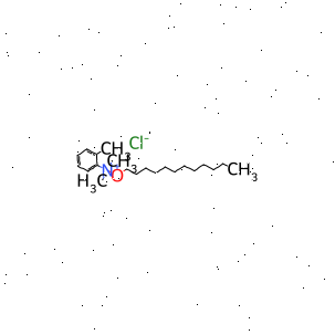 CCCCCCCCCCCCO[N+](C)(C)c1ccccc1C.[Cl-]